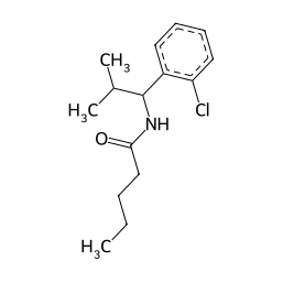 CCCCC(=O)NC(c1ccccc1Cl)C(C)C